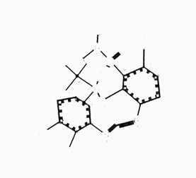 Cc1c(F)cccc1N=C=Nc1ccc(Cl)c(S(=O)(=O)N(C)C)c1O[Si](C)(C)C(C)(C)C